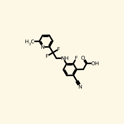 Cc1cccc(C(F)(F)CNc2ccc(C#N)c(CC(=O)O)c2F)n1